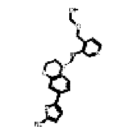 N#Cc1ccc(-c2ccc3c(c2)OCC[C@@H]3CNc2cnccc2COCO)s1